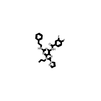 CCCn1c(-n2cccn2)nc2c(NC(=O)c3ccc(F)c(F)c3)nc(NCCc3ccccc3)nc21